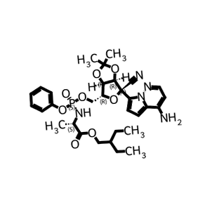 CCC(CC)COC(=O)[C@H](C)N[P@](=O)(OC[C@H]1O[C@@](C#N)(c2ccc3c(N)ccnn23)[C@@H]2OC(C)(C)O[C@@H]21)Oc1ccccc1